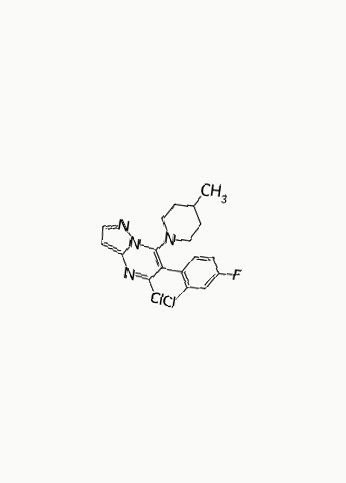 CC1CCN(c2c(-c3ccc(F)cc3Cl)c(Cl)nc3ccnn23)CC1